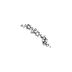 Cc1ncc(OCC(=O)N[C@H]2CC[C@H](CCN3CC4C[C@]4(c4cc(C(F)(F)F)on4)C3)CC2)cn1